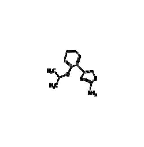 CC(C)Oc1ccccc1-c1csc(N)n1